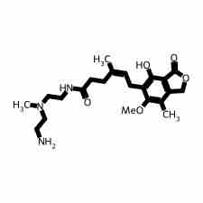 COc1c(C)c2c(c(O)c1CC=C(C)CCC(=O)NCCN(C)CCN)C(=O)OC2